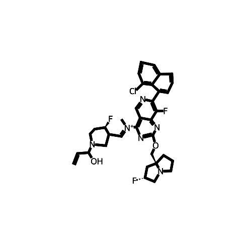 C=CC(O)N1CC[C@@H](F)C(/C=[N+](\C)c2nc(OC[C@@]34CCCN3C[C@H](F)C4)nc3c(F)c(-c4cccc5cccc(Cl)c45)ncc23)C1